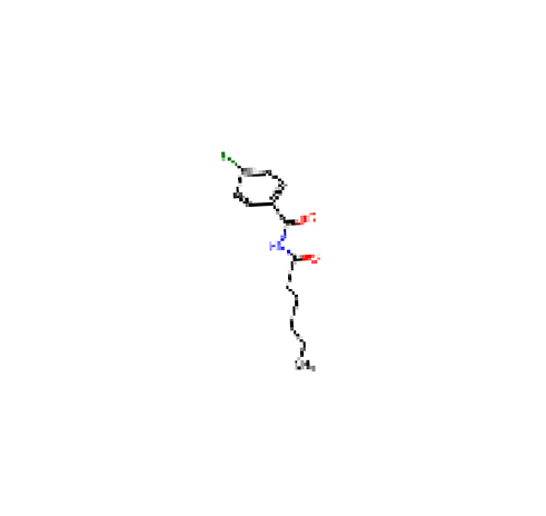 CCCCCC(=O)NC(=O)c1ccc(F)cc1